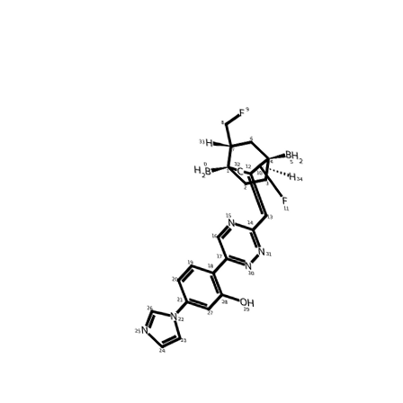 B[C@@]12CC[C@@](B)(C[C@H]1CF)[C@@H](F)/C(=C/c1ncc(-c3ccc(-n4ccnc4)cc3O)nn1)C2